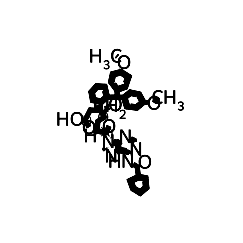 C=C1C[C@@H](O)O[C@@H]2C[C@@]1(COC(c1ccccc1)(c1ccc(OC)cc1)c1ccc(OC)cc1)O[C@H]2n1cnc2c(NC(=O)c3ccccc3)ncnc21